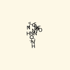 CCn1c(=O)c2cnc(Nc3ccc4c(c3)CCNC4(C)C)nc2n1-c1cc(C2(C#N)CC2)cs1